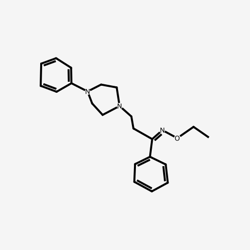 CCON=C(CCN1CCN(c2ccccc2)CC1)c1ccccc1